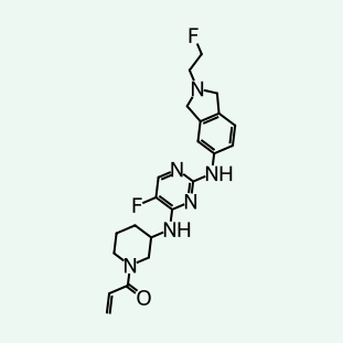 C=CC(=O)N1CCCC(Nc2nc(Nc3ccc4c(c3)CN(CCF)C4)ncc2F)C1